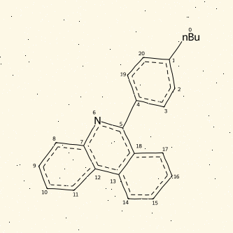 CCCCc1ccc(-c2nc3ccccc3c3ccccc23)cc1